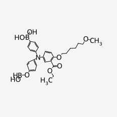 CCOC(=O)c1cc(N(c2ccc(OBO)cc2)c2ccc(B(O)O)cc2)ccc1OCCCCCCOC